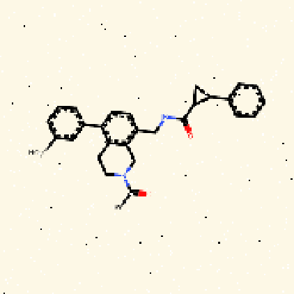 CC(C)C(=O)N1CCc2c(-c3cccc(C(=O)O)c3)ccc(CNC(=O)C3CC3c3ccccc3)c2C1